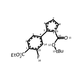 CCOC(=O)c1ccc(-c2cccn2C(=O)OC(C)(C)C)cc1F